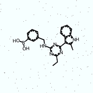 CCc1nc(NCc2cccc(B(O)O)c2)nc(-c2c(C)[nH]c3ccccc23)n1